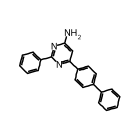 Nc1cc(-c2ccc(-c3ccccc3)cc2)nc(-c2ccccc2)n1